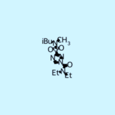 CCC(C)N(C)S(=O)(=O)c1ncn(C(=O)N(CC)CC)n1